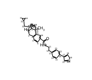 C[C@H]1[C@H]2Cc3ccc(C(=O)NCCc4ccc(C5=CCN=C5)cc4)cc3[C@@]1(C)CCN2CC1CC1